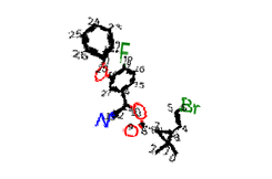 CC1(C)[C@H](C=CBr)[C@H]1C(=O)OC(C#N)c1ccc(F)c(Oc2ccccc2)c1